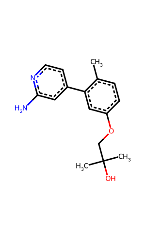 Cc1ccc(OCC(C)(C)O)cc1-c1ccnc(N)c1